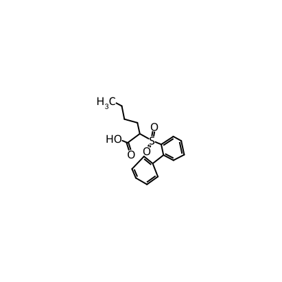 CCCCC(C(=O)O)S(=O)(=O)c1ccccc1-c1ccccc1